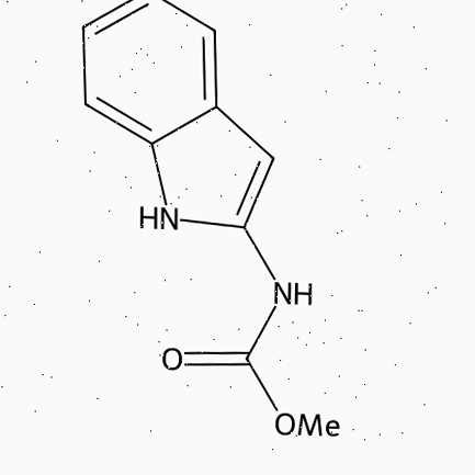 COC(=O)Nc1cc2ccccc2[nH]1